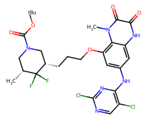 C[C@@H]1CN(C(=O)OC(C)(C)C)C[C@H](CCCOc2cc(Nc3nc(Cl)ncc3Cl)cc3[nH]c(=O)c(=O)n(C)c23)C1(F)F